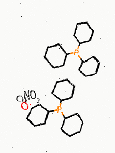 C1CCC(P(C2CCCCC2)C2CCCCC2)CC1.C1CCC(P(C2CCCCC2)C2CCCCC2)CC1.O=[N+]([O-])[O-].[Cu+]